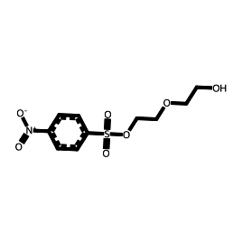 O=[N+]([O-])c1ccc(S(=O)(=O)OCCOCCO)cc1